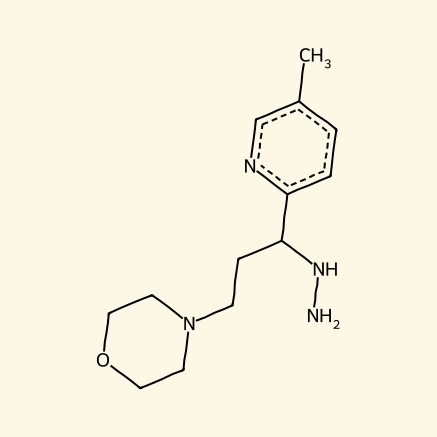 Cc1ccc(C(CCN2CCOCC2)NN)nc1